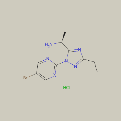 CCc1nc([C@H](C)N)n(-c2ncc(Br)cn2)n1.Cl